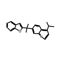 CC(C)c1ccnc2cc(C(C)(C)c3cc4ccccc4o3)ccc12